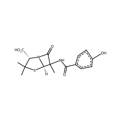 CC1(C)S[C@H]2N(C(=O)C2(C)NC(=O)c2ccc(O)cc2)[C@H]1C(=O)O